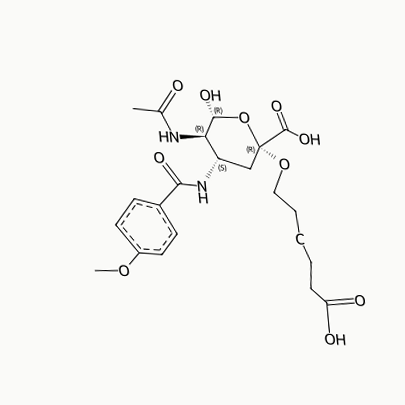 COc1ccc(C(=O)N[C@H]2C[C@](OCCCCCC(=O)O)(C(=O)O)O[C@@H](O)[C@@H]2NC(C)=O)cc1